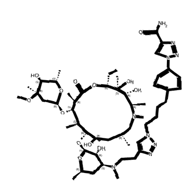 CC[C@H]1OC(=O)[C@H](C)[C@@H](O[C@H]2C[C@@](C)(OC)[C@@H](O)[C@H](C)O2)[C@H](C)[C@@H](O[C@@H]2O[C@H](C)C[C@H](N(C)CCc3cn(CCCCc4ccc(-n5cc(C(N)=O)nn5)cc4)nn3)[C@H]2O)[C@](C)(O)C[C@@H](C)CN(C)[C@H](C)[C@@H](O)[C@]1(C)O